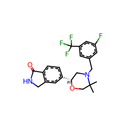 CC1(C)CO[C@H](c2ccc3c(c2)CNC3=O)CN1Cc1cc(F)cc(C(F)(F)F)c1